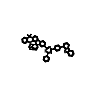 CC1(C)c2ccccc2Sc2c1ccc1c2C2(c3cc(-c4nc(-c5ccccc5)nc(-c5ccc(-c6cccc7c6sc6ccccc67)cc5)n4)ccc3-1)C1CC3CC(C1)CC2C3